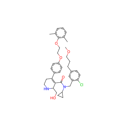 COCCCc1ccc(Cl)c(CN(C(=O)C2=C(c3ccc(OCCOc4c(C)cccc4C)cc3)CCNC2CO)C2CC2)c1